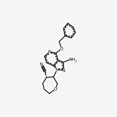 N#C[C@@H]1CCCOCC1n1nc(N)c2c(OCc3ccccc3)nccc21